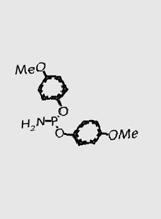 COc1ccc(OP(N)Oc2ccc(OC)cc2)cc1